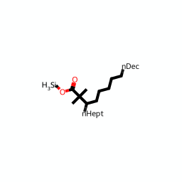 CCCCCCCCCCCCCCCC(CCCCCCC)C(C)(C)C(=O)O[SiH3]